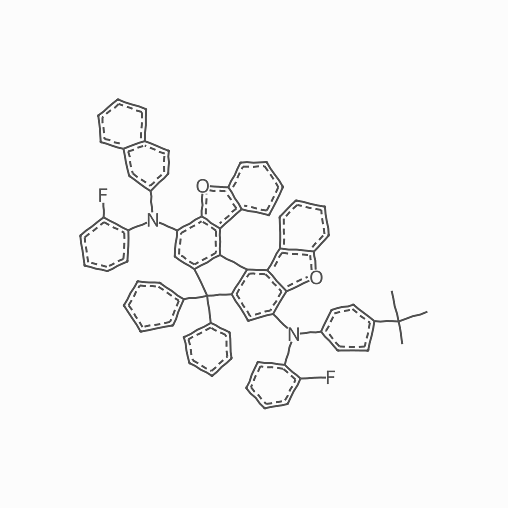 CC(C)(C)c1ccc(N(c2ccccc2F)c2cc3c(c4c2oc2ccccc24)-c2c(cc(N(c4ccc5ccccc5c4)c4ccccc4F)c4oc5ccccc5c24)C3(c2ccccc2)c2ccccc2)cc1